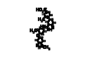 Cc1cc(Nc2ncnc3ccc(N4CCN(C(=O)O)C[C@@H]4C)cc23)ccc1Oc1ccc2c(c1)ncn2C